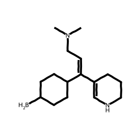 BC1CCC(/C(=C\CN(C)C)C2=CNCCC2)CC1